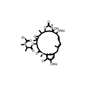 COc1cc2cc(c1Cl)N(C)C(=O)CC(OC(=O)C(C)N(C)C(=O)C(C)C)C1(C)OC1C(C)C1CC(O)(NC(=O)O1)C(OC)/C=C/C=C(\C)C2